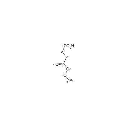 CC(C)OOC(=O)CCC(=O)O